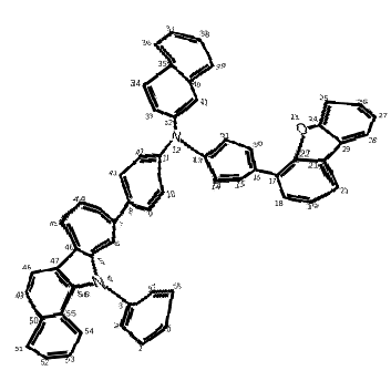 c1ccc(-n2c3cc(-c4ccc(N(c5ccc(-c6cccc7c6oc6ccccc67)cc5)c5ccc6ccccc6c5)cc4)ccc3c3ccc4ccccc4c32)cc1